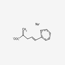 C=C(CC=Cc1ccccc1)C(=O)[O-].[Na+]